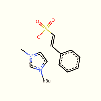 CCCCn1cc[n+](C)c1.O=S(=O)([O-])C=Cc1ccccc1